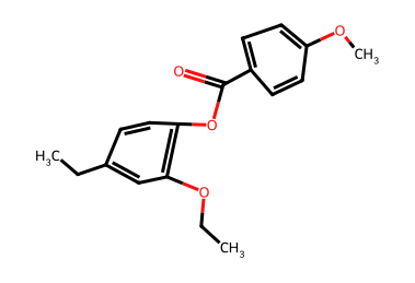 CCOc1cc(CC)ccc1OC(=O)c1ccc(OC)cc1